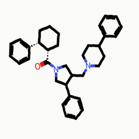 O=C([C@H]1CCCC[C@H]1c1ccccc1)N1CC(CN2CCC(c3ccccc3)CC2)C(c2ccccc2)C1